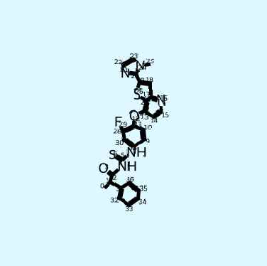 CC(C(=O)NC(=S)Nc1ccc(Oc2ccnc3cc(-c4nccn4C)sc23)c(F)c1)c1ccccc1